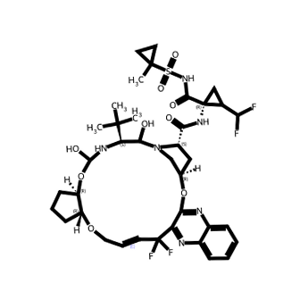 CC(C)(C)[C@@H]1NC(O)O[C@@H]2CCC[C@H]2OC/C=C/C(F)(F)c2nc3ccccc3nc2O[C@@H]2C[C@@H](C(=O)N[C@]3(C(=O)NS(=O)(=O)C4(C)CC4)CC3C(F)F)N(C2)C1O